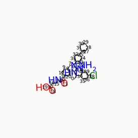 CC(N/C(=N/N)N(Cc1ccc(C(=O)NCCC(=O)O)cc1)c1ccc(C2=CCCCC2)cc1)c1ccc(Cl)cc1